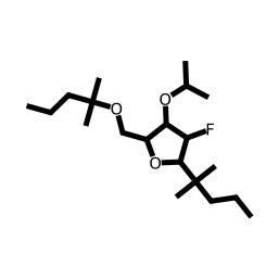 CCCC(C)(C)OCC1OC(C(C)(C)CCC)C(F)C1OC(C)C